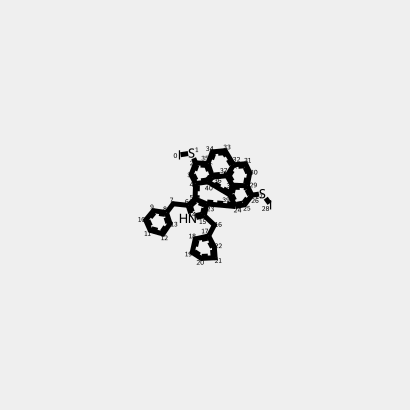 ISc1cc2c3c(Cc4ccccc4)[nH]c(Cc4ccccc4)c3c3cc(SI)c4ccc5ccc1c1c5c4c3c21